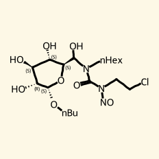 CCCCCCN(C(=O)N(CCCl)N=O)C(O)[C@H]1O[C@H](OCCCC)[C@H](O)[C@@H](O)[C@@H]1O